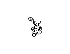 C=C/C=C(\C=N/CC(=O)N[C@H](C)C1CCCCC1)c1ccc(OCC)cc1OCCN1CCOCC1